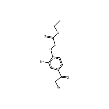 CCOC(=O)COc1ccc(C(=O)CBr)cc1Br